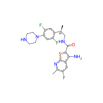 Cc1nc2sc(C(=O)NC[C@H](C)c3cc(F)c(N4CCNCC4)cc3F)c(N)c2cc1F